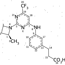 C[C@H]1CCN1c1nc(Nc2cccc(CCC(=O)O)c2)cc(C(F)(F)F)n1